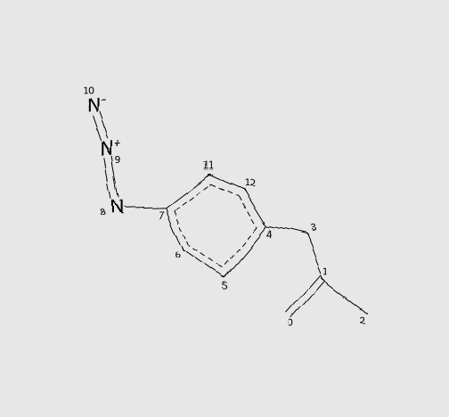 C=C(C)Cc1ccc(N=[N+]=[N-])cc1